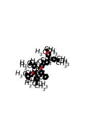 CC(C)(C)c1ccc(N2B3c4sc5cc6c(cc5c4N(c4ccc(C(C)(C)C)cc4)c4c3c(cc3c4oc4ccccc43)-c3cc4c(cc32)C(C)(C)c2cc(N(c3ccc(C(C)(C)C)cc3)c3ccc(C(C)(C)C)cc3)ccc2-4)C(C)(C)CCC6(C)C)cc1